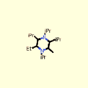 CCC1C(C(C)C)N(C(C)C)C(C(C)C)C(C)N1C(C)C